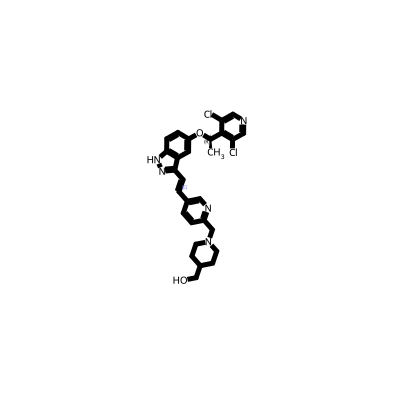 C[C@@H](Oc1ccc2[nH]nc(/C=C/c3ccc(CN4CCC(CO)CC4)nc3)c2c1)c1c(Cl)cncc1Cl